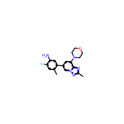 Cc1nc2c(N3CCOCC3)cc(-c3cc(N)c(F)cc3C)cn2n1